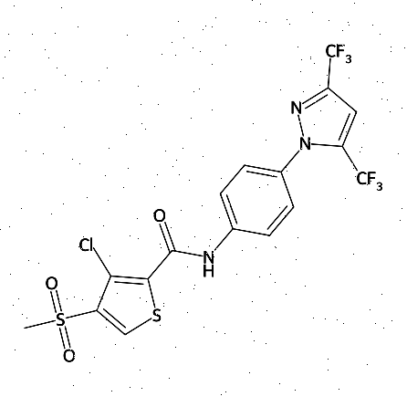 CS(=O)(=O)c1csc(C(=O)Nc2ccc(-n3nc(C(F)(F)F)cc3C(F)(F)F)cc2)c1Cl